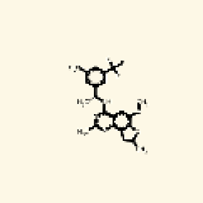 COc1cc2c(N[C@H](C)c3cc(N)cc(C(F)(F)F)c3)nc(C)nc2c2c1OC(C)C2